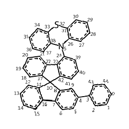 c1ccc(-c2ccc3c(c2)C2(c4ccccc4-3)c3ccccc3-c3c(N4c5ccccc5Sc5ccccc54)cccc32)cc1